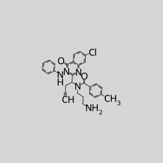 C#CCC(c1nc2cc(Cl)ccc2c(=O)n1Nc1ccccc1)N(CCCN)C(=O)c1ccc(C)cc1